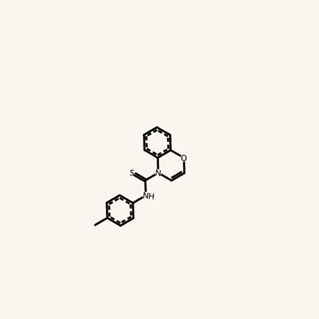 Cc1ccc(NC(=S)N2C=COc3ccccc32)cc1